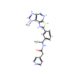 C[C@H](NC(=O)Cc1ccncc1)c1cccc(-c2nc3c(ncc4ncn(C)c43)s2)c1